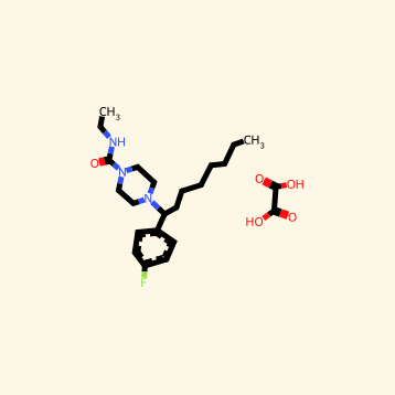 CCCCCCCC(c1ccc(F)cc1)N1CCN(C(=O)NCC)CC1.O=C(O)C(=O)O